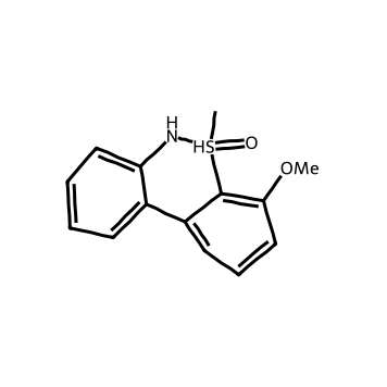 COc1cccc2c1[SH](C)(=O)Nc1ccccc1-2